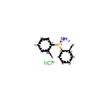 Cc1ccccc1P(N)c1ccccc1C.Cl